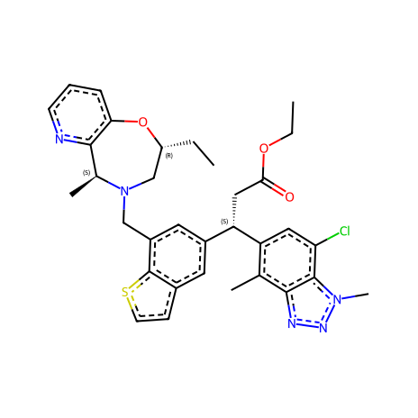 CCOC(=O)C[C@@H](c1cc(CN2C[C@@H](CC)Oc3cccnc3[C@@H]2C)c2sccc2c1)c1cc(Cl)c2c(nnn2C)c1C